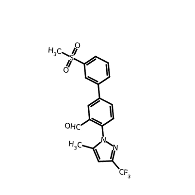 Cc1cc(C(F)(F)F)nn1-c1ccc(-c2cccc(S(C)(=O)=O)c2)cc1C=O